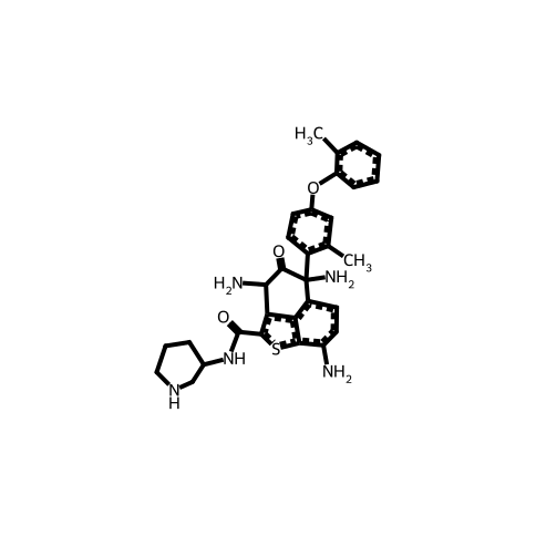 Cc1ccccc1Oc1ccc(C2(N)C(=O)C(N)c3c(C(=O)NC4CCCNC4)sc4c(N)ccc2c34)c(C)c1